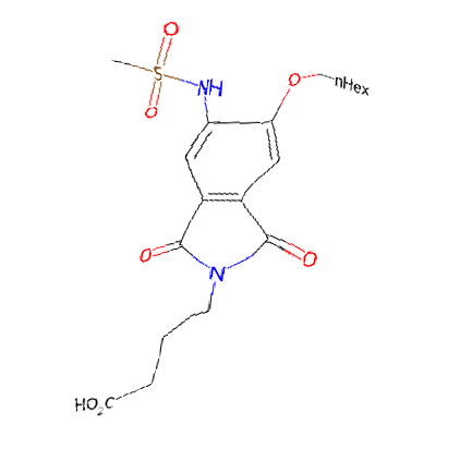 CCCCCCOc1cc2c(cc1NS(C)(=O)=O)C(=O)N(CCCC(=O)O)C2=O